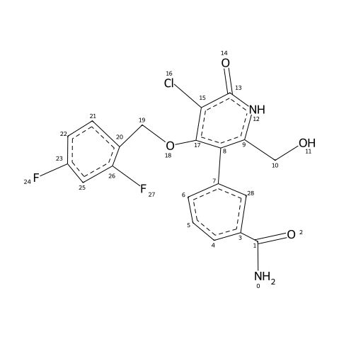 NC(=O)c1cccc(-c2c(CO)[nH]c(=O)c(Cl)c2OCc2ccc(F)cc2F)c1